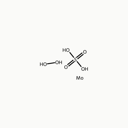 O=S(=O)(O)O.OO.[Mo]